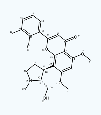 COc1cc(OC)c2c(=O)cc(-c3cccc(C)c3Cl)oc2c1[C@@H]1CCN(C)[C@H]1CO